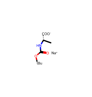 C[C@H](NC(=O)OC(C)(C)C)C(=O)[O-].[Na+]